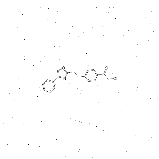 O=C(CCl)c1ccc(CCc2nc(-c3ccccc3)co2)cc1